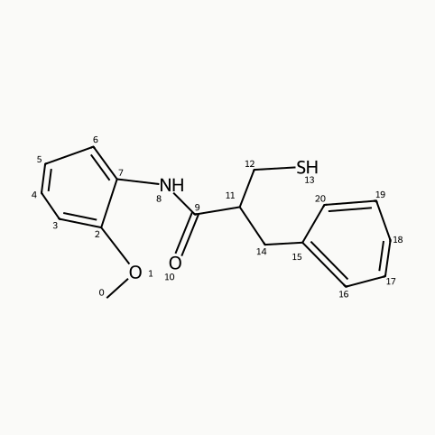 COc1ccccc1NC(=O)C(CS)Cc1ccccc1